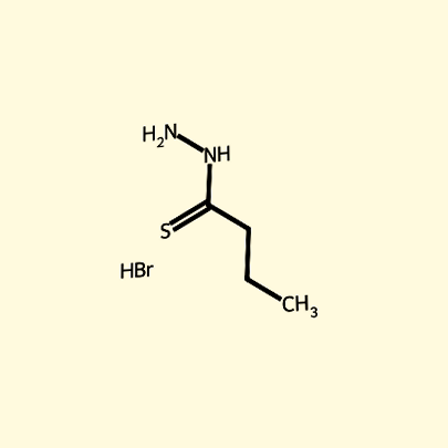 Br.CCCC(=S)NN